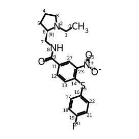 CCN1CCC[C@@H]1CNC(=O)c1ccc(Sc2ccc(F)cc2)c([N+](=O)[O-])c1